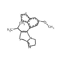 COc1cc(C2=C(C(C)C)SC3=NCCN32)c2ccsc2c1